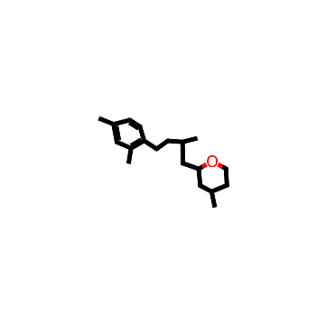 Cc1ccc(CCC(C)CC2CC(C)CCO2)c(C)c1